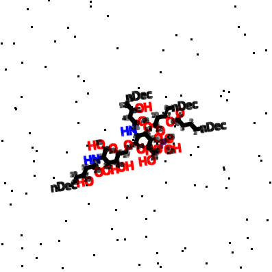 CCCCCCCCCCCCCC(=O)O[C@H](CCCCCCCCCCC)CC(=O)OC1[C@H](OP(=O)(O)O)C(CO)O[C@@H](OCC2O[C@H](O)C(NC(=O)C[C@H](O)CCCCCCCCCCC)[C@@H](O)[C@@H]2O)[C@H]1NC(=O)C[C@H](O)CCCCCCCCCCC